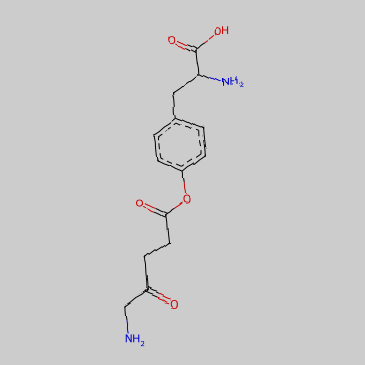 NCC(=O)CCC(=O)Oc1ccc(CC(N)C(=O)O)cc1